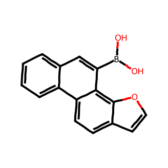 OB(O)c1cc2ccccc2c2ccc3ccoc3c12